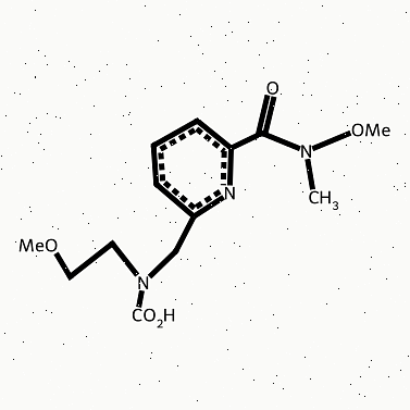 COCCN(Cc1cccc(C(=O)N(C)OC)n1)C(=O)O